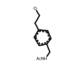 CC(=O)NCc1ccc(CC[O])cc1